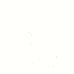 O=C1C(=Cc2cc3oc(-c4cc5ccccc5s4)nc3o2)C(=O)c2cc(Cl)c(Cl)cc21